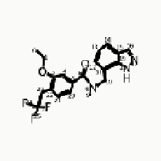 CCOc1cc(C(=O)N(C)Cc2cccc3cn[nH]c23)ccc1CC(F)(F)F